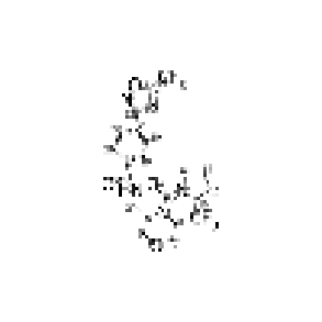 O=C(NC[C@H]1COCCN1C(=O)N1CCC[C@H]1C(F)(F)F)c1ccc(-c2noc(C(F)(F)F)n2)cc1